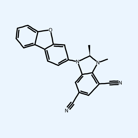 C[C@H]1N(C)c2c(C#N)cc(C#N)cc2N1c1ccc2c(c1)oc1ccccc12